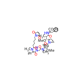 CC[C@H](C)[C@@H](C(CC(=O)N1C2CC2C[C@H]1C(OC)C(C)C(=O)N[C@@H](Cc1ccccc1)C(=O)O)OC)N(C)C(=O)CNC(=O)[C@H](C(C)C)N(C)C(=O)CCCCCN1C(=O)C=CC1=O